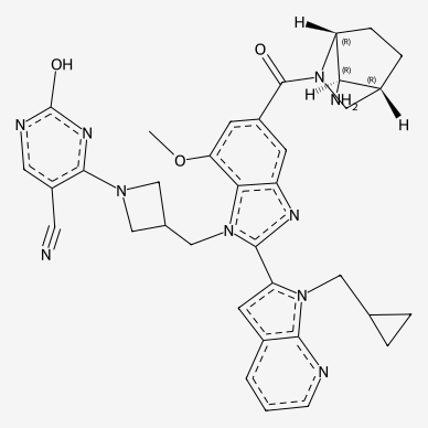 COc1cc(C(=O)N2C[C@H]3CC[C@@H]2[C@@H]3N)cc2nc(-c3cc4cccnc4n3CC3CC3)n(CC3CN(c4nc(O)ncc4C#N)C3)c12